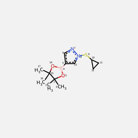 CC1(C)OB(c2cnn(SC3CC3)c2)OC1(C)C